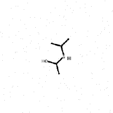 CC(C)SC(C)O.I